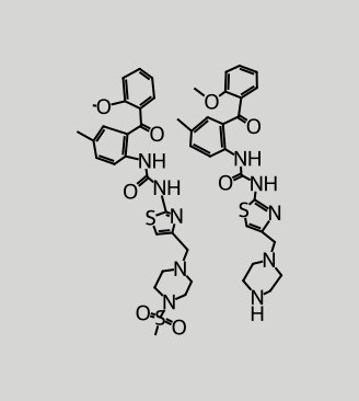 COc1ccccc1C(=O)c1cc(C)ccc1NC(=O)Nc1nc(CN2CCN(S(C)(=O)=O)CC2)cs1.COc1ccccc1C(=O)c1cc(C)ccc1NC(=O)Nc1nc(CN2CCNCC2)cs1